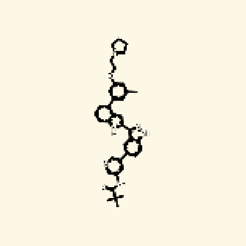 CC(C)(C)C(=O)Nc1cncc(-c2ccc3[nH]nc(-c4cc5c(-c6cc(F)cc(OCCN7CCCC7)c6)cccc5[nH]4)c3c2)c1